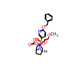 COCCOC(=O)N1C2CC[C@@H]1CN(S(=O)(=O)c1ccc(OCc3ccccc3)nc1)[C@H]2C(=O)O